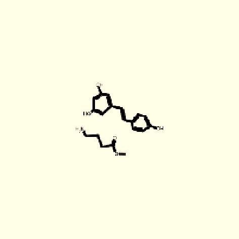 COC(=O)CCCN.Oc1ccc(C=Cc2cc(O)cc(O)c2)cc1